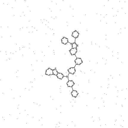 c1ccc(-c2ccc(N(c3ccc(-c4cccc(-c5ccc6c(c5)nc(-c5ccccc5)n6-c5ccccc5)c4)cc3)c3ccc4c(c3)sc3ccccc34)cc2)cc1